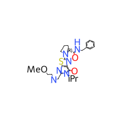 COCCN(C)Cc1nc2sc(N3CCC[C@@H]3C(=O)NCc3ccccc3)nc2c(=O)n1C(C)C